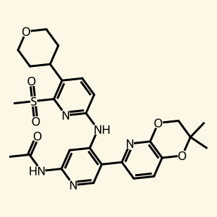 CC(=O)Nc1cc(Nc2ccc(C3CCOCC3)c(S(C)(=O)=O)n2)c(-c2ccc3c(n2)OCC(C)(C)O3)cn1